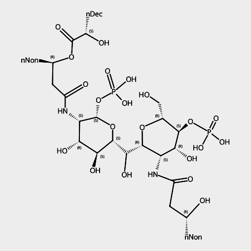 CCCCCCCCCC[C@H](O)C(=O)O[C@H](CCCCCCCCC)CC(=O)N[C@@H]1[C@H](OP(=O)(O)O)O[C@H](C(O)[C@@H]2O[C@H](CO)[C@@H](OP(=O)(O)O)[C@H](O)[C@@H]2NC(=O)C[C@H](O)CCCCCCCCC)[C@@H](O)[C@@H]1O